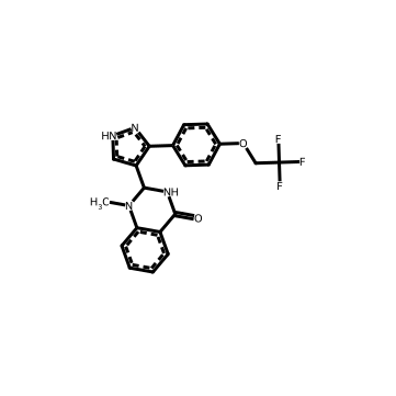 CN1c2ccccc2C(=O)NC1c1c[nH]nc1-c1ccc(OCC(F)(F)F)cc1